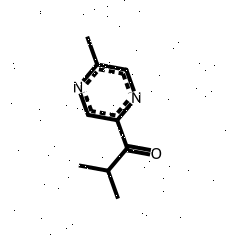 Cc1cnc(C(=O)C(C)C)cn1